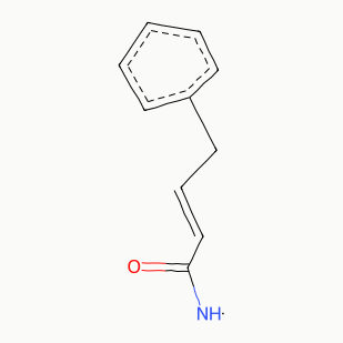 [NH]C(=O)C=CCc1ccccc1